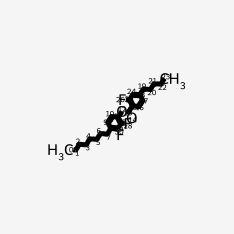 CCCCCCCCc1ccc(OC(=O)c2ccc(CCCCC)cc2F)c(F)c1F